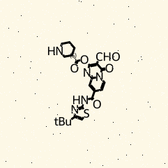 CC(C)(C)c1csc(NC(=O)c2ccn3c(=O)c(C=O)c(OC(=O)[C@H]4CCCNC4)nc3c2)n1